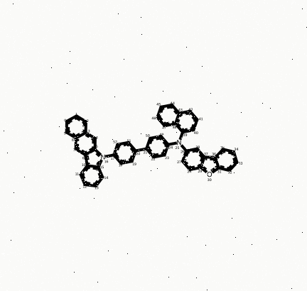 c1ccc2cc3c(cc2c1)c1ccccc1n3-c1ccc(-c2ccc(N(c3ccc4oc5ccccc5c4c3)c3cccc4ccccc34)cc2)cc1